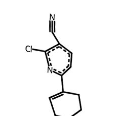 N#Cc1ccc(C2=CCCCC2)nc1Cl